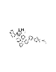 Cc1ccc(-c2cccc(-c3ccc4c(c3)C(c3ccccc3)(c3cccc(-c5nc(C)cc(-c6cccc7ccccc67)n5)c3)c3ccccc3-4)c2)cn1